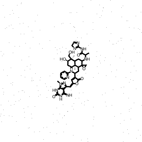 CC(NC1CC2[C@](C)(CC[C@@H](O)[C@@]2(C)CO)C(CC(Nc2ccccn2)C2=C/C(=C\c3nn(C)c4[nH]c(=O)[nH]c(=N)c34)OC2=O)C12CO2)C(=O)NC1=NCC=N1